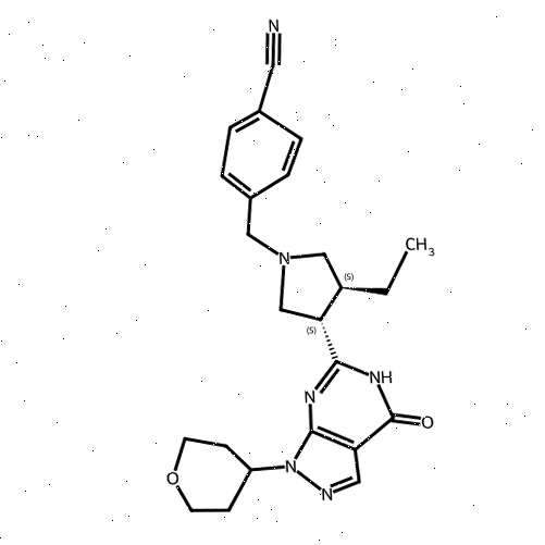 CC[C@@H]1CN(Cc2ccc(C#N)cc2)C[C@H]1c1nc2c(cnn2C2CCOCC2)c(=O)[nH]1